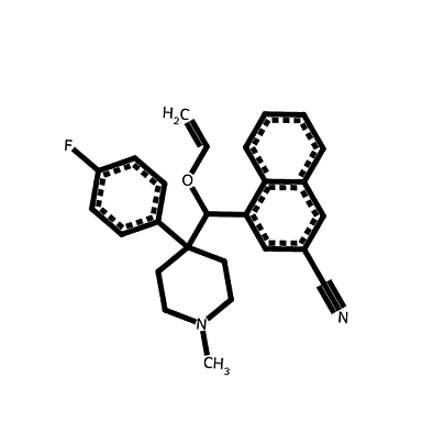 C=COC(c1cc(C#N)cc2ccccc12)C1(c2ccc(F)cc2)CCN(C)CC1